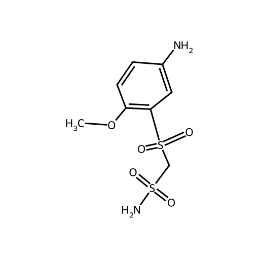 COc1ccc(N)cc1S(=O)(=O)CS(N)(=O)=O